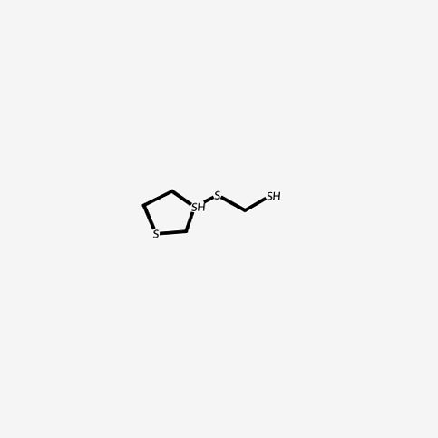 SCS[SH]1CCSC1